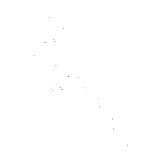 CNCCCNC(=O)c1nc2c(Nc3ccc(F)cc3OC(C)C)ncnc2s1